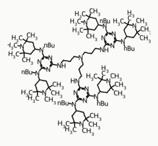 CCCCN(c1nc(NCCCN(CCCNc2nc(N(CCCC)C3CC(C)(C)N(C)C(C)(C)C3)nc(N(CCCC)C3CC(C)(C)N(C)C(C)(C)C3)n2)CCCNc2nc(N(CCCC)C3CC(C)(C)N(C)C(C)(C)C3)nc(N(CCCC)C3CC(C)(C)N(C)C(C)(C)C3)n2)nc(N(CCCC)C2CC(C)(C)N(C)C(C)(C)C2)n1)C1CC(C)(C)N(C)C(C)(C)C1